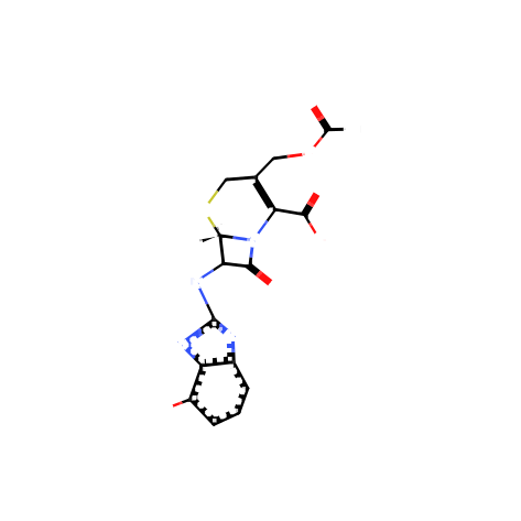 CC(=O)OCC1=C(C(=O)O)N2C(=O)C(Nc3nc4c(O)cccc4[nH]3)[C@@H]2SC1